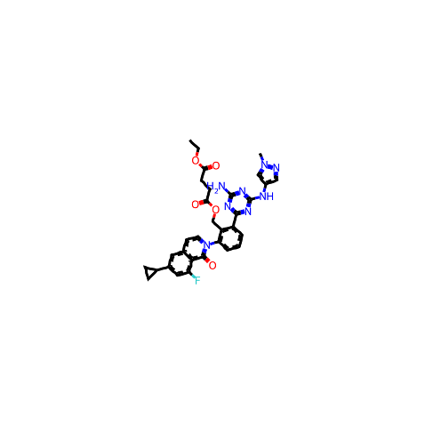 CCOC(=O)CCC(=O)OCc1c(-c2nc(N)nc(Nc3cnn(C)c3)n2)cccc1-n1ccc2cc(C3CC3)cc(F)c2c1=O